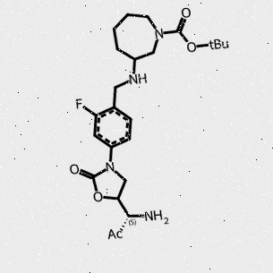 CC(=O)[C@@H](N)C1CN(c2ccc(CNC3CCCCN(C(=O)OC(C)(C)C)C3)c(F)c2)C(=O)O1